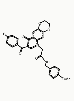 COc1ccc(CNC(=O)Cn2cc(C(=O)c3ccc(F)cc3)c(=O)c3cc4c(cc32)OCCO4)cc1